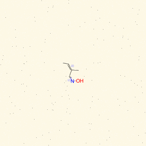 C/C=C(C)\C=N/O